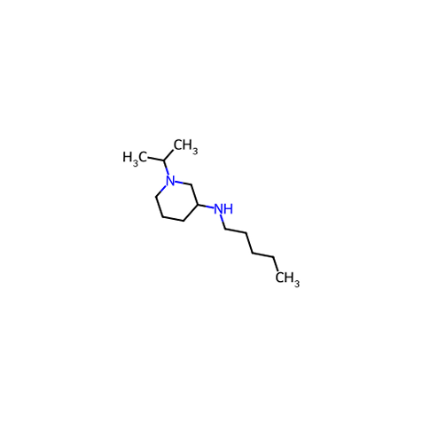 CCCCCNC1CCCN(C(C)C)C1